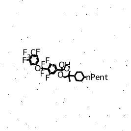 CCCCCC1CCC(C2(C)COC(O)(c3cc(F)c(C(F)(F)Oc4cc(F)c(C(F)(F)F)c(F)c4)c(F)c3)OC2)CC1